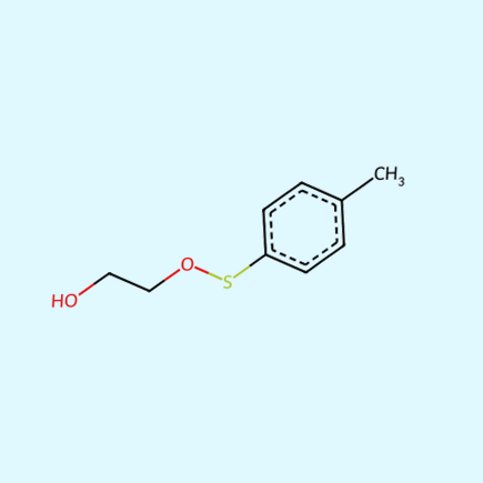 Cc1ccc(SOCCO)cc1